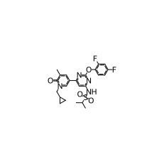 Cc1cc(-c2cc(NS(=O)(=O)C(C)C)nc(Oc3ccc(F)cc3F)n2)cn(CC2CC2)c1=O